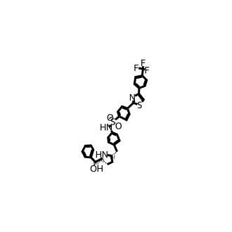 O=S(=O)(Nc1ccc(C[C@@H]2CC[C@H]([C@H](O)c3ccccc3)N2)cc1)c1ccc(-c2nc(-c3ccc(C(F)(F)F)cc3)cs2)cc1